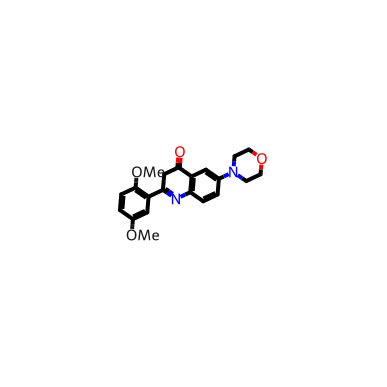 COc1ccc(OC)c(C2=Nc3ccc(N4CCOCC4)cc3C(=O)C2)c1